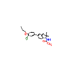 CCCOc1ccc(-c2ccc3c(c2)CC(C)(C)[C@H]3NC(=O)O)cc1Cl